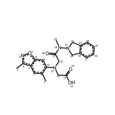 Cc1cc2c(C)noc2cc1N(CC(=O)O)CC(=O)N(C)N1Cc2ccccc2C1